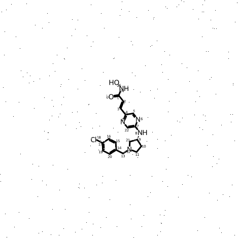 O=C(C=Cc1cnc(N[C@@H]2CCN(Cc3ccc(Cl)cc3)C2)cn1)NO